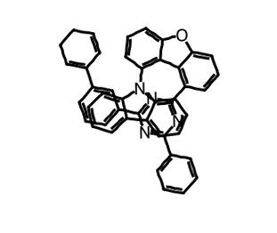 C1=CC(c2cccc(-c3nc(-c4ccccc4)nc(-c4cccc5oc6cccc(-n7c8ccccc8c8ccccc87)c6c45)n3)c2)=CCC1